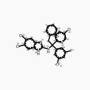 Fc1cc(C(F)(F)F)cc(C(Cc2ccccc2)(Nc2nc3cc(Cl)c(Cl)cc3[nH]2)c2ccc(Cl)cn2)c1